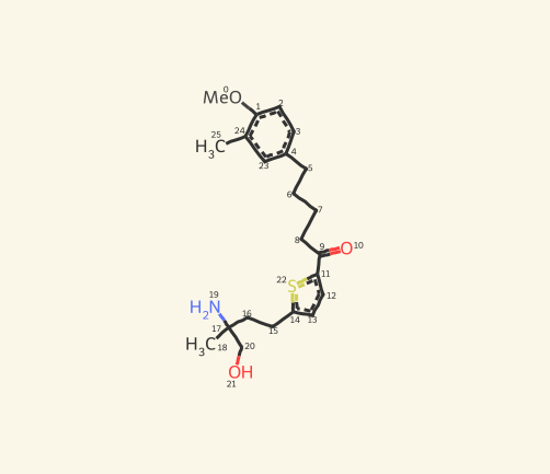 COc1ccc(CCCCC(=O)c2ccc(CCC(C)(N)CO)s2)cc1C